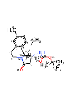 Cc1ccc2c(c1)CCN1C(=O)C[C@H]3[C@H](NC(=O)OC(C)(C)C)[C@@H](C)C[C@]231